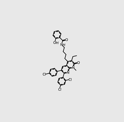 CCc1c(CCCCNC(=O)c2ccccc2O)c2cc(-c3ccc(Cl)cc3)c(-c3ccc(Cl)cc3Cl)nc2n(C)c1=O